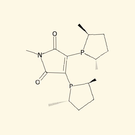 C[C@H]1CC[C@H](C)P1C1=C(P2[C@@H](C)CC[C@@H]2C)C(=O)N(C)C1=O